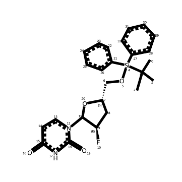 CC(C)(C)[Si](OC[C@@H]1C[C@@H](F)C(n2ccc(=O)[nH]c2=O)O1)(c1ccccc1)c1ccccc1